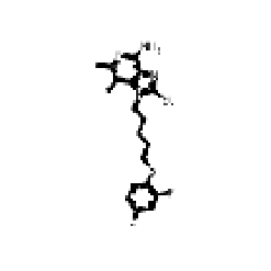 CCc1nc2c(N)nc(C)c(C)c2n1CCCCCSc1ccc(F)cc1F